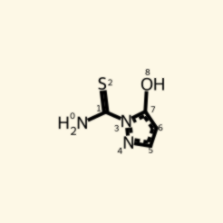 NC(=S)n1nccc1O